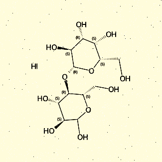 I.OC[C@@H]1O[C@H](O[C@@H]2[C@@H](O)[C@H](O)C(O)O[C@H]2CO)[C@@H](O)[C@H](O)[C@@H]1O